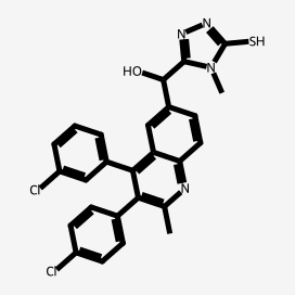 Cc1nc2ccc(C(O)c3nnc(S)n3C)cc2c(-c2cccc(Cl)c2)c1-c1ccc(Cl)cc1